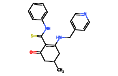 CC1CC(=O)C(C(=S)Nc2ccccc2)=C(NCc2ccncc2)C1